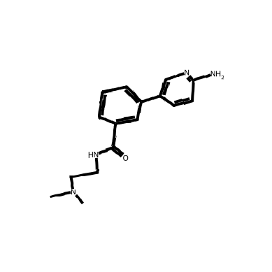 CN(C)CCNC(=O)c1cccc(-c2ccc(N)nc2)c1